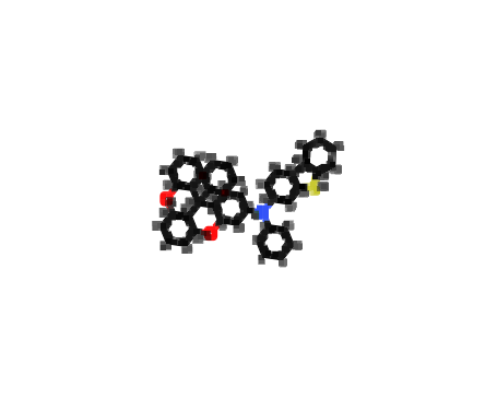 c1ccc(N(c2ccc3c(c2)Oc2cccc4c2C3(c2ccccc2)c2ccccc2O4)c2ccc3c(c2)sc2ccccc23)cc1